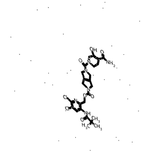 CC(C)(C)C(=O)Nc1cc(Cl)c(Cl)nc1COC(=O)N1CC2=C(C1)CN(C(=O)N1CCC(C(N)=O)=C(O)C1)C2